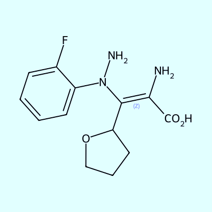 N/C(C(=O)O)=C(/C1CCCO1)N(N)c1ccccc1F